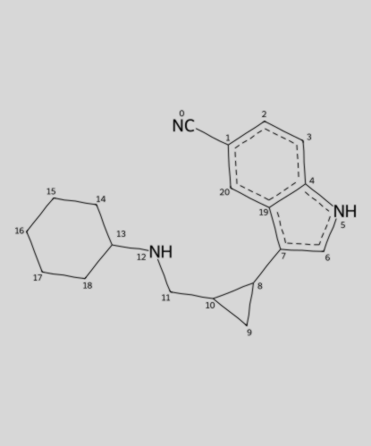 N#Cc1ccc2[nH]cc(C3CC3CNC3CCCCC3)c2c1